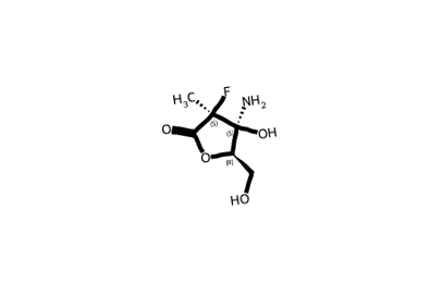 C[C@@]1(F)C(=O)O[C@H](CO)[C@]1(N)O